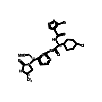 CCc1nocc1C(=O)N[C@H](C(=O)Nc1cc([C@@H](COC)N2C[C@@H](C(F)(F)F)NC2=O)ccn1)C1CCC(Cl)CC1